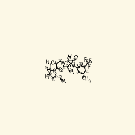 Cc1cc(N2C(=O)[C@@H]3C[C@H]2CN3C[C@H](C)C(=O)N2C3C[C@H]3C[C@H]2C#N)cc(C(F)(F)F)c1